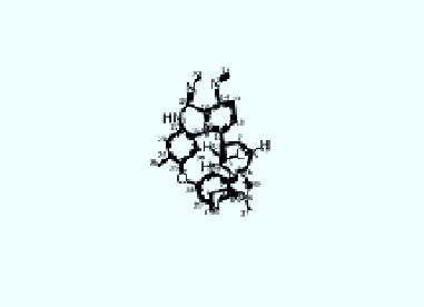 C=CC(=O)N1C[C@H]2CC[C@@H]1[C@H](c1ccc(N=C)c(/C(=N\C)Nc3cc(C)c(Oc4cnc5c(c4)ncn5C)cc3F)n1)C2